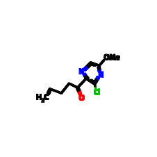 C=CCCC(=O)c1ncc(OC)nc1Cl